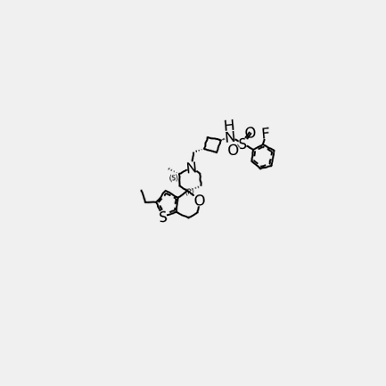 CCc1cc2c(s1)CCO[C@@]21CCN(C[C@H]2C[C@@H](NS(=O)(=O)c3ccccc3F)C2)[C@@H](C)C1